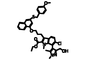 CCOC(=O)c1c(CCCOc2cc(SCc3ccc(OC)cc3)cc3ccccc23)c2ccc(Cl)c(-c3c(CO)nn(C)c3C)c2n1C